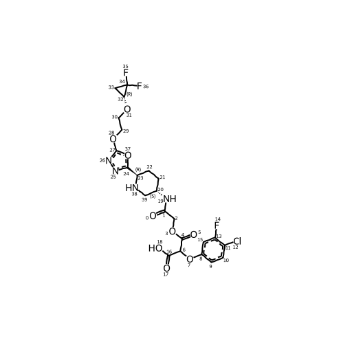 O=C(COC(=O)C(Oc1ccc(Cl)c(F)c1)C(=O)O)N[C@H]1CC[C@H](c2nnc(OCCO[C@@H]3CC3(F)F)o2)NC1